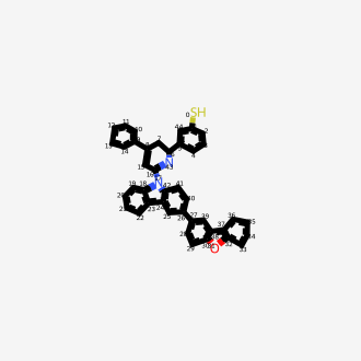 Sc1cccc(C2CC(c3ccccc3)=CC(n3c4ccccc4c4cc(-c5ccc6oc7ccccc7c6c5)ccc43)=N2)c1